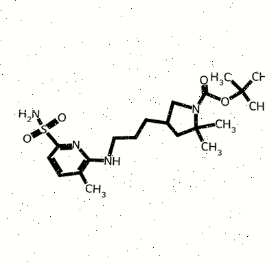 Cc1ccc(S(N)(=O)=O)nc1NCCCC1CN(C(=O)OC(C)(C)C)C(C)(C)C1